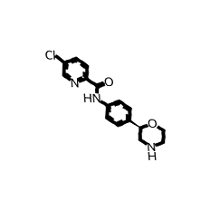 O=C(Nc1ccc([C@@H]2CNCCO2)cc1)c1ccc(Cl)cn1